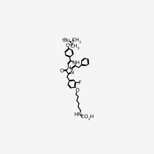 CC(C)(C)[Si](C)(C)Oc1ccc(-c2cn3c(=O)c(Cc4ccc(OCCCCCCNC(=O)O)c(F)c4)nc-3c(Cc3ccccc3)[nH]2)cc1